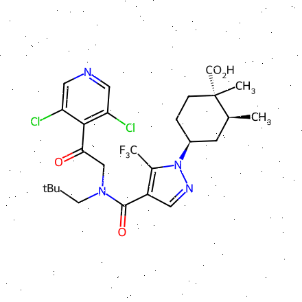 C[C@H]1C[C@@H](n2ncc(C(=O)N(CC(=O)c3c(Cl)cncc3Cl)CC(C)(C)C)c2C(F)(F)F)CC[C@]1(C)C(=O)O